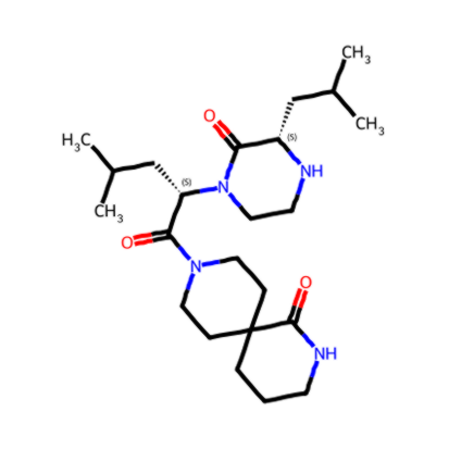 CC(C)C[C@@H]1NCCN([C@@H](CC(C)C)C(=O)N2CCC3(CCCNC3=O)CC2)C1=O